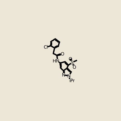 CC(C)n1cc2c(S(C)(=O)=O)cc(NC(=O)Cc3ccccc3Cl)cc2n1